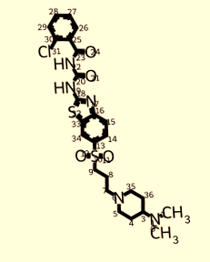 CN(C)C1CCN(CCCS(=O)(=O)c2ccc3nc(NC(=O)NC(=O)c4ccccc4Cl)sc3c2)CC1